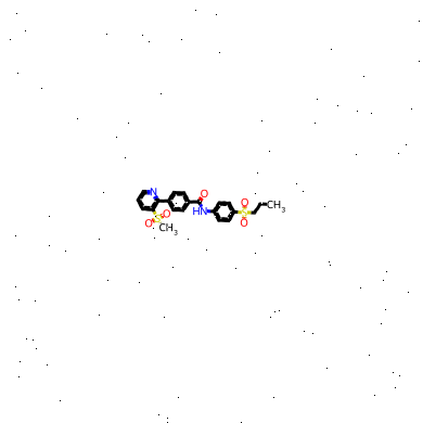 CCCS(=O)(=O)c1ccc(NC(=O)c2ccc(-c3ncccc3S(C)(=O)=O)cc2)cc1